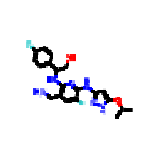 CC(C)Oc1cc(Nc2nc(NC(CO)c3ccc(F)cc3)c(CN)cc2F)n[nH]1